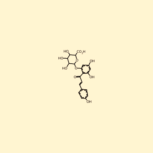 O=C(C=Cc1ccc(O)cc1)c1c(O)cc(O)cc1OC1OC(C(=O)O)C(O)C(O)C1O